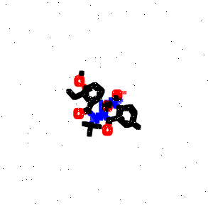 CCc1c(OC)cccc1C(=O)N(NC(=O)c1cc(C)ccc1[N+](=O)[O-])C(C)(C)C